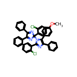 COc1ccc(-c2c(-c3ccccc3)nc(-c3ccccc3Cl)n2C2(c3ccccc3Cl)N=C(c3ccccc3)C(c3ccccc3)=N2)cc1